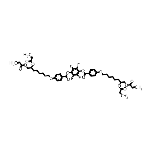 C=CC(=O)OCC(CCCCCCOc1ccc(C(=O)Oc2c(F)c(F)c(OC(=O)c3ccc(OCCCCCCC(COC(=O)C=C)OC(=O)C=C)cc3)c(F)c2F)cc1)OC(=O)C=C